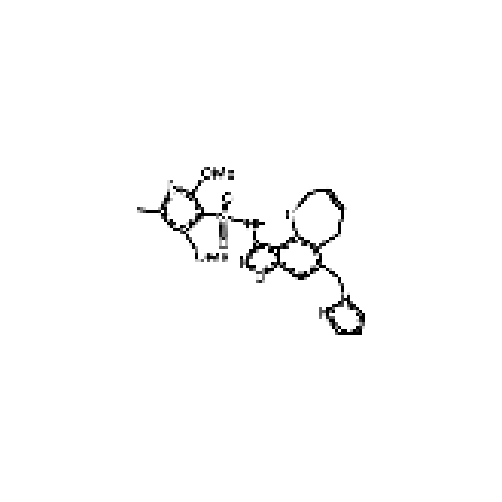 COc1cc(C)nc(OC)c1S(=O)(=O)Nc1noc2cc(Cn3cccn3)c3c(c12)OCC=CC3